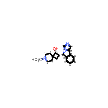 O=C(O)N1CCC2(CC1)C[C@@H](C1c3ccccc3-c3cncn31)[C@H]2O